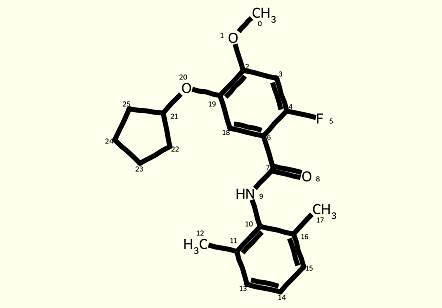 COc1cc(F)c(C(=O)Nc2c(C)cccc2C)cc1OC1CCCC1